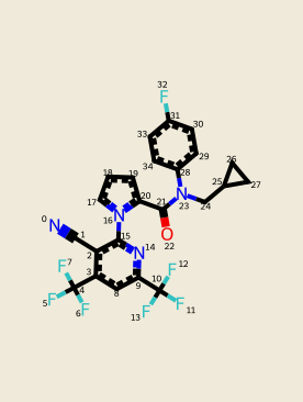 N#Cc1c(C(F)(F)F)cc(C(F)(F)F)nc1-n1cccc1C(=O)N(CC1CC1)c1ccc(F)cc1